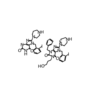 Cn1c(=O)[nH]c(=O)c2c1nc(N1CCCNCC1)n2Cc1ccccc1I.O=c1c2c(nc(N3CCCNCC3)n2Cc2ccccc2I)n(Cc2ccccc2)c(=O)n1CCCO